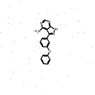 Nc1ncnc2[nH]nc(-c3cccc(Oc4ccccc4)c3)c12